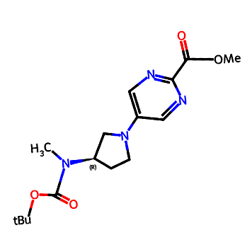 COC(=O)c1ncc(N2CC[C@@H](N(C)C(=O)OC(C)(C)C)C2)cn1